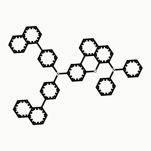 c1ccc(N(c2ccccc2)c2ccc3cccc4c3c2Oc2ccc(N(c3ccc(-c5cccc6ccccc56)cc3)c3ccc(-c5cccc6ccccc56)cc3)cc2-4)cc1